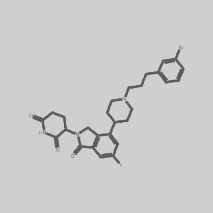 O=C1CCC(N2Cc3c(cc(F)cc3C3CCN(CCCc4cccc(Br)c4)CC3)C2=O)C(=O)N1